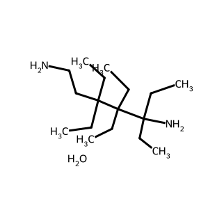 CCC(N)(CC)C(CC)(CC)C(CC)(CC)CCN.O